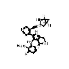 COc1c(F)cccc1Nc1c(-c2ccncc2C#C[C@H]2C[C@@H]3C[C@@H]3N2)[nH]c2c1C(=O)NCC2